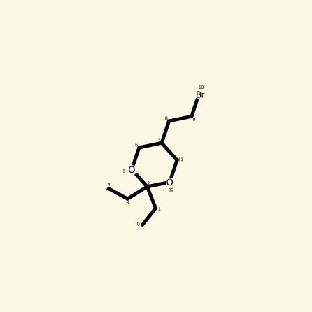 CCC1(CC)OCC(CCBr)CO1